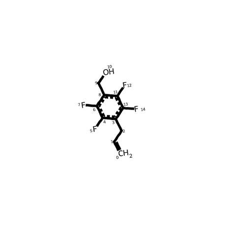 C=CCc1c(F)c(F)c(CO)c(F)c1F